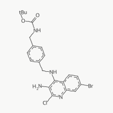 CC(C)(C)OC(=O)NCc1ccc(CNc2c(N)c(Cl)nc3cc(Br)ccc23)cc1